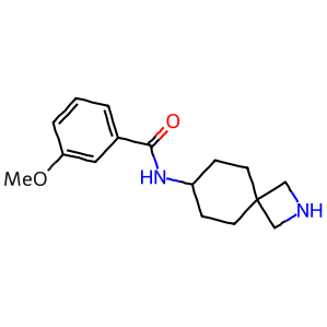 COc1cccc(C(=O)NC2CCC3(CC2)CNC3)c1